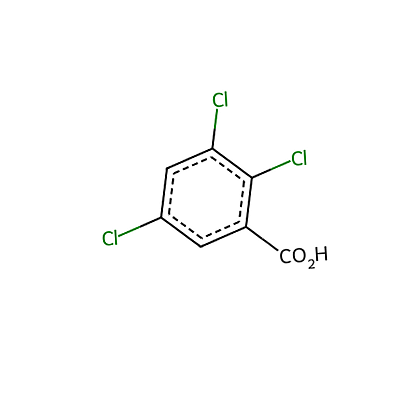 O=C(O)c1cc(Cl)cc(Cl)c1Cl